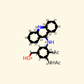 CC(=O)Nc1cc(CO)cc(Nc2c3ccccc3nc3ccccc23)c1C(C)=O